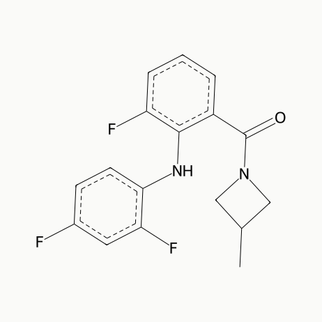 CC1CN(C(=O)c2cccc(F)c2Nc2ccc(F)cc2F)C1